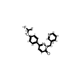 O=c1ccc(-c2ccc(OC(F)F)cc2)nn1Cc1cccnc1